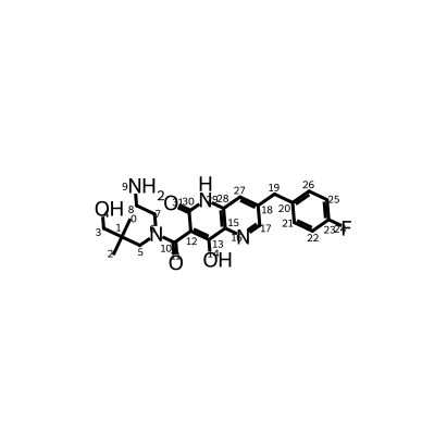 CC(C)(CO)CN(CCN)C(=O)c1c(O)c2ncc(Cc3ccc(F)cc3)cc2[nH]c1=O